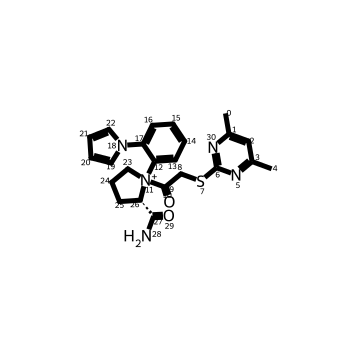 Cc1cc(C)nc(SCC(=O)[N+]2(c3ccccc3-n3cccc3)CCC[C@H]2C(N)=O)n1